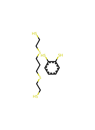 SCCSCCCSCCS.Sc1ccccc1S